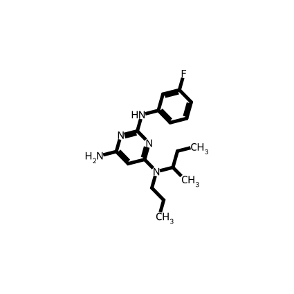 CCCN(c1cc(N)nc(Nc2cccc(F)c2)n1)C(C)CC